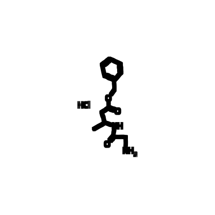 CC(CC(=O)OCc1ccccc1)NC(=O)CN.Cl